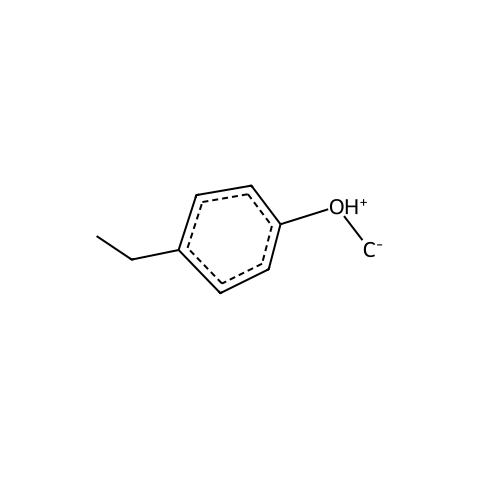 [CH2-][OH+]c1ccc(CC)cc1